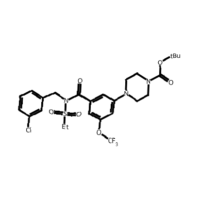 CCS(=O)(=O)N(Cc1cccc(Cl)c1)C(=O)c1cc(OC(F)(F)F)cc(N2CCN(C(=O)OC(C)(C)C)CC2)c1